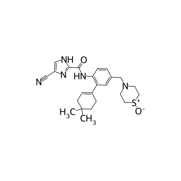 CC1(C)CC=C(c2cc(CN3CC[S+]([O-])CC3)ccc2NC(=O)c2nc(C#N)c[nH]2)CC1